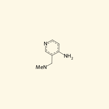 CNCc1cnccc1N